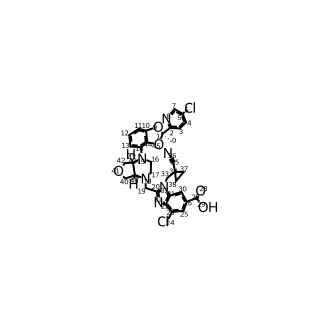 C[C@@]1(c2ccc(Cl)cn2)Oc2cccc(N3CCN(Cc4nc5c(Cl)cc(C(=O)O)cc5n4CC4(C#N)CC4)[C@@H]4COC[C@@H]43)c2O1